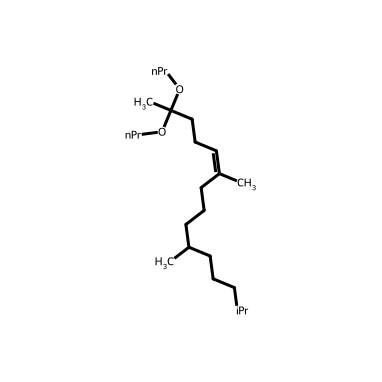 CCCOC(C)(CCC=C(C)CCCC(C)CCCC(C)C)OCCC